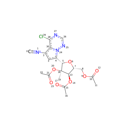 [C-]#[N+]c1cc([C@@H]2O[C@H](COC(C)=O)[C@@H](OC(C)=O)[C@@]2(C)OC(C)=O)n2ncnc(Cl)c12